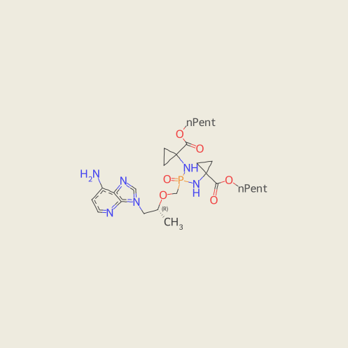 CCCCCOC(=O)C1(NP(=O)(CO[C@H](C)Cn2cnc3c(N)ccnc32)NC2(C(=O)OCCCCC)CC2)CC1